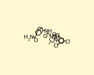 C[C@H]1CN(CC(=O)NC2C3CC4CC2CC(C(N)=O)(C4)C3)S(=O)(=O)N(c2c(Cl)cc(Cl)cc2Cl)C1